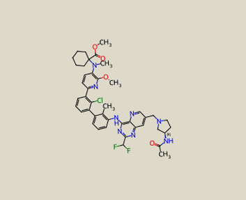 COC(=O)C1(N(C)c2ccc(-c3cccc(-c4cccc(Nc5nc(C(F)F)nc6cc(CN7CC[C@@H](NC(C)=O)C7)cnc56)c4C)c3Cl)nc2OC)CCCCC1